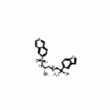 C[C@H](CNCC(C)(O)c1ccc2occc2c1)NS(=O)(=O)c1ccc2cnccc2c1